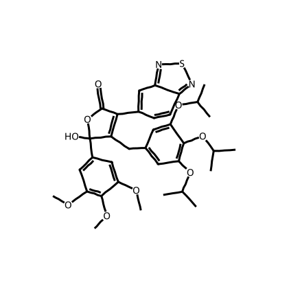 COc1cc(C2(O)OC(=O)C(c3ccc4nsnc4c3)=C2Cc2cc(OC(C)C)c(OC(C)C)c(OC(C)C)c2)cc(OC)c1OC